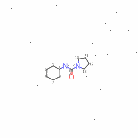 O=C([N]C1CCCCC1)N1CCCC1